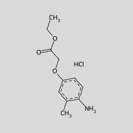 CCOC(=O)COc1ccc(N)c(C)c1.Cl